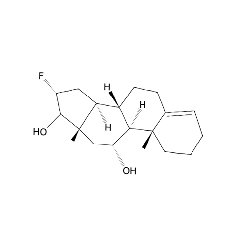 C[C@]12CCCC=C1CC[C@@H]1[C@@H]2[C@H](O)C[C@]2(C)C(O)[C@H](F)C[C@@H]12